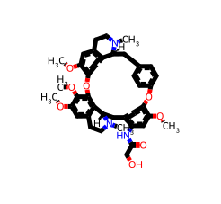 COc1cc(NC(=O)CO)c2cc1Oc1ccc(cc1)C[C@H]1c3cc(c(OC)cc3CCN1C)Oc1c(OC)c(OC)cc3c1[C@H](C2)N(C)CC3